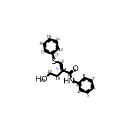 O=C(Nc1ccccc1)/C(=C/Sc1ccccc1)CCO